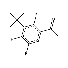 CC(=O)c1cc(F)c(F)c(C(C)(C)C)c1F